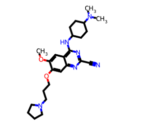 COc1cc2c(NC3CCC(N(C)C)CC3)nc(C#N)nc2cc1OCCCN1CCCC1